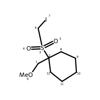 COCC1(S(=O)(=O)CI)CCCCC1